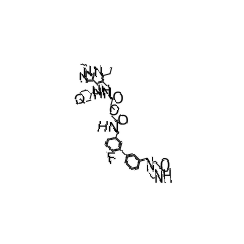 CCc1nc2c(cnn2CC)c(NC2CCOCC2)c1CNC(=O)COCC(=O)NCc1ccc(F)c(-c2cccc(CN3CCNC(=O)C3)c2)c1